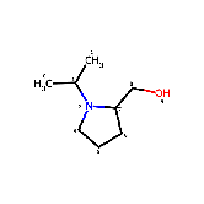 CC(C)N1CCCC1CO